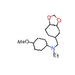 CCN(CC1CCC2OCOC2C1)C1CCC(OC)CC1